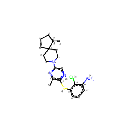 Cc1nc(N2CCC3(CCC[C@H]3C)CC2)cnc1Sc1cccc(N)c1Cl